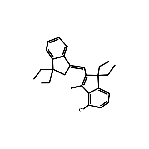 CCC1(CC)C/C(=C\C2=C(C)c3c(Cl)cccc3C2(CC)CC)c2ccccc21